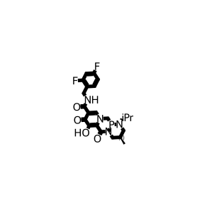 CC(C)N1C[C@@H](C)CN2C(=O)c3c(O)c(=O)c(C(=O)NCc4ccc(F)cc4F)cn3CP21